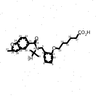 [2H]C(C)(C)N(Cc1ccccc1OCCCCCC(=O)O)C(=O)c1ccc2oc(C)cc2c1